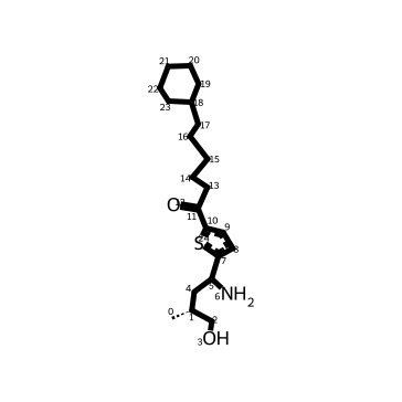 C[C@@H](CO)CC(N)c1ccc(C(=O)CCCCCC2CCCCC2)s1